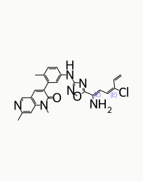 C=C/C(Cl)=C\C=C(/N)c1nc(Nc2ccc(C)c(-c3cc4cnc(C)cc4n(C)c3=O)c2)no1